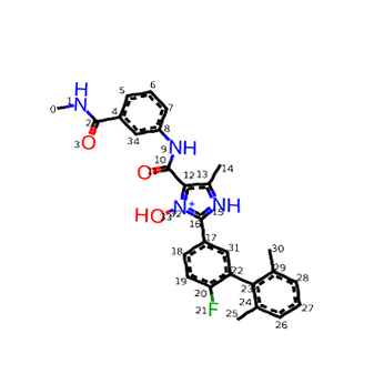 CNC(=O)c1cccc(NC(=O)c2c(C)[nH]c(-c3ccc(F)c(-c4c(C)cccc4C)c3)[n+]2O)c1